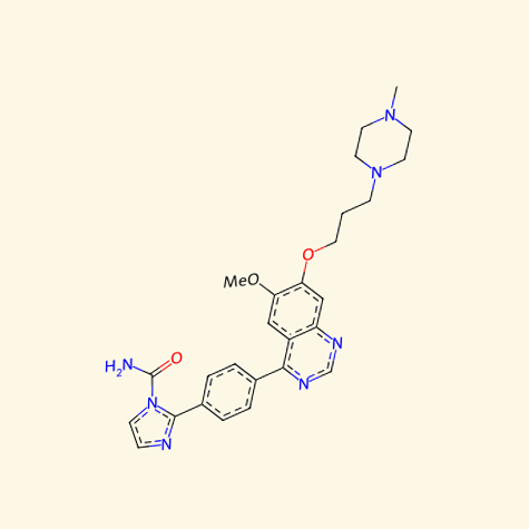 COc1cc2c(-c3ccc(-c4nccn4C(N)=O)cc3)ncnc2cc1OCCCN1CCN(C)CC1